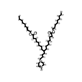 CCCCCC/C=C/COC(=O)CCCCCCCC(CCCCCCCC(=O)OCCCCCCCCC)CCCCN1CCN(C)CC1